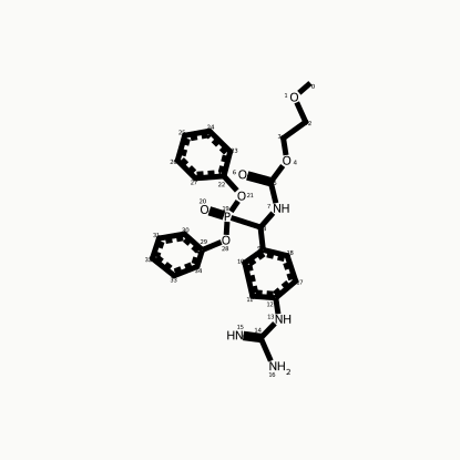 COCCOC(=O)NC(c1ccc(NC(=N)N)cc1)P(=O)(Oc1ccccc1)Oc1ccccc1